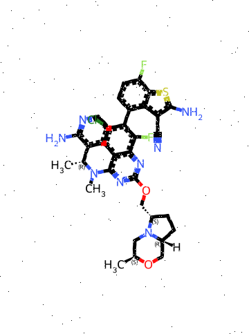 C[C@H](c1cccnc1N)N(C)c1nc(OC[C@@H]2CC[C@@H]3CO[C@@H](C)CN32)nc2c(F)c(-c3ccc(F)c4sc(N)c(C#N)c34)c(Cl)cc12